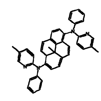 Cc1ccc(N(C2=CC=C3C=Cc4c(N(c5ccccc5)c5ccc(C)cn5)ccc5c4C3(C)C2C=C5)c2ccccc2)nc1